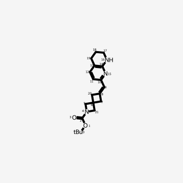 CC(C)(C)OC(=O)N1CC2(CC(=Cc3ccc4c(n3)NCCC4)C2)C1